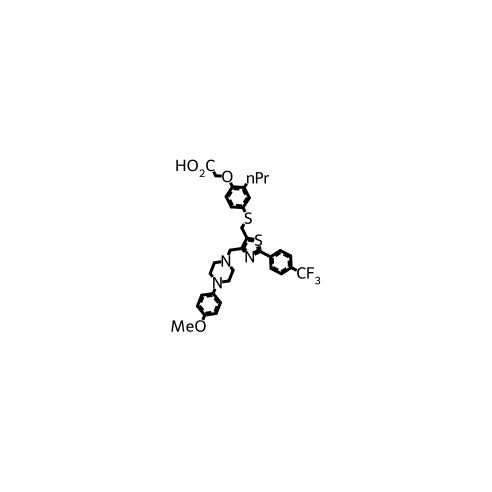 CCCc1cc(SCc2sc(-c3ccc(C(F)(F)F)cc3)nc2CN2CCN(c3ccc(OC)cc3)CC2)ccc1OCC(=O)O